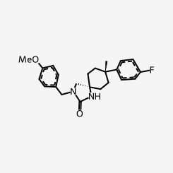 COc1ccc(CN2C[C@]3(CC[C@@](C)(c4ccc(F)cc4)CC3)NC2=O)cc1